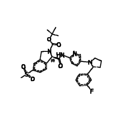 CC(C)(C)OC(=O)N1Cc2cc(S(C)(=O)=O)ccc2[C@@H]1C(=O)Nc1ccc(N2CCCC2c2cccc(F)c2)cn1